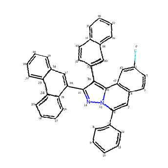 Fc1ccc2cc(-c3ccccc3)n3nc(-c4cc5ccccc5c5ccccc45)c(-c4ccc5ccccc5c4)c3c2c1